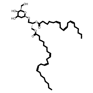 CCCCC/C=C\C/C=C\C/C=C\CCCCC(=O)O[C@H](COC(=O)CCCCCC/C=C\C/C=C\C/C=C\CCCCCCC)CO[C@H]1CC(O)[C@@H](O)[C@@H](CO)O1